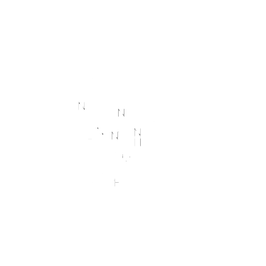 O=C(c1c(F)cccc1F)n1nc(-c2ccccn2)nc1NCc1ccccc1